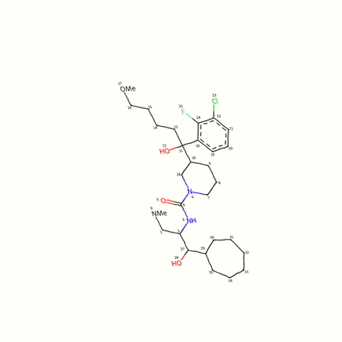 CNCC(NC(=O)N1CCCC(C(O)(CCCCOC)c2cccc(Cl)c2F)C1)C(O)C1CCCCCC1